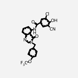 N#Cc1cc(C(=O)Nc2cccc3ncn(Cc4ccc(OC(F)(F)F)cc4)c(=O)c23)cc(Cl)c1O